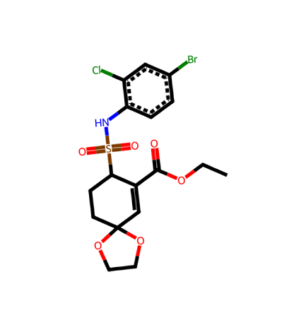 CCOC(=O)C1=CC2(CCC1S(=O)(=O)Nc1ccc(Br)cc1Cl)OCCO2